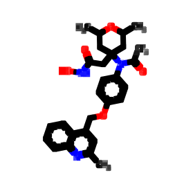 Cc1cc(COc2ccc(N(C(=O)C(F)(F)F)C3(CC(=O)NO)CC(C)OC(C)C3)cc2)c2ccccc2n1